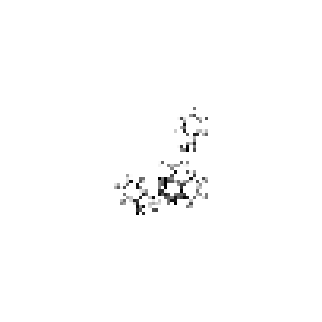 CN(CCOc1ccccc1)c1nc(-c2coc3ccccc23)nc2ccccc12